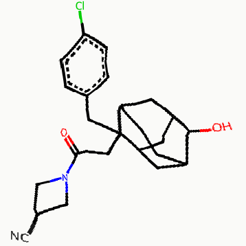 N#CC1CN(C(=O)CC2(Cc3ccc(Cl)cc3)C3CC4CC2CC(C3)C4O)C1